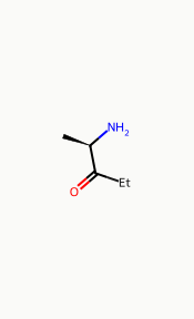 CCC(=O)[C@@H](C)N